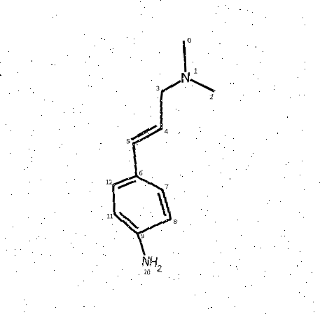 CN(C)CC=Cc1ccc(N)cc1